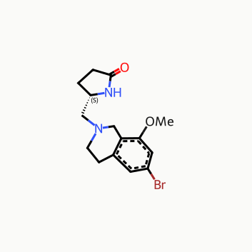 COc1cc(Br)cc2c1CN(C[C@@H]1CCC(=O)N1)CC2